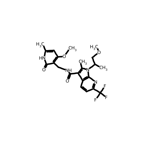 COCC(C)n1c(C)c(C(=O)NCc2c(OC)cc(C)[nH]c2=O)c2ccc(C(F)(F)F)nc21